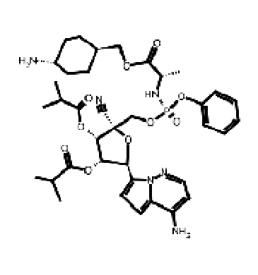 CC(C)C(=O)O[C@H]1[C@H](c2ccc3c(N)ccnn23)O[C@](C#N)(CO[P@@](=O)(N[C@@H](C)C(=O)OC[C@H]2CC[C@H](N)CC2)Oc2ccccc2)[C@H]1OC(=O)C(C)C